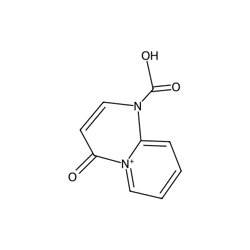 O=C(O)n1ccc(=O)[n+]2ccccc12